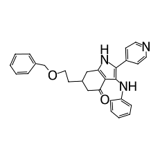 O=C1CC(CCOCc2ccccc2)Cc2[nH]c(-c3ccncc3)c(Nc3ccccc3)c21